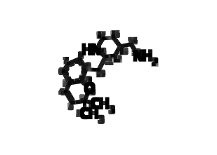 CC1(C)C=Cc2cccc(CC3CC(CN)CCN3)c2O1